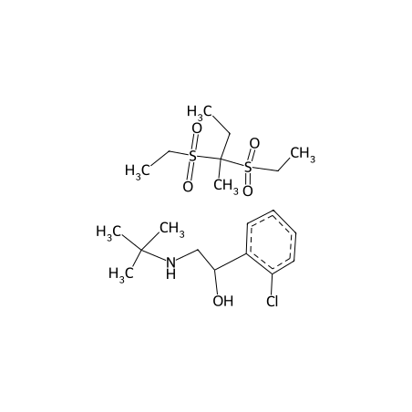 CC(C)(C)NCC(O)c1ccccc1Cl.CCC(C)(S(=O)(=O)CC)S(=O)(=O)CC